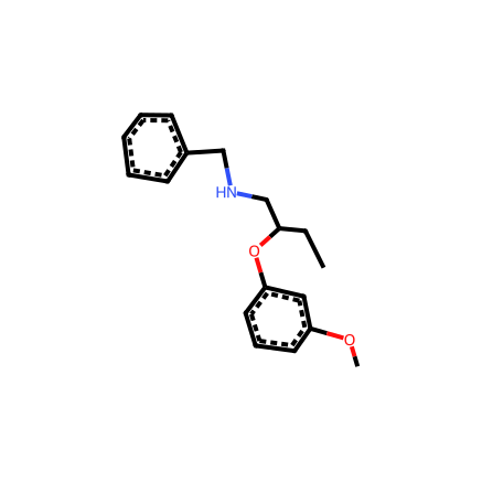 CCC(CNCc1ccccc1)Oc1cccc(OC)c1